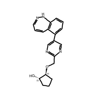 O[C@H]1CCC[C@@H]1OCc1ncc(-c2cccc3c2C=CC=NN3)cn1